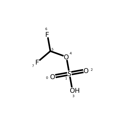 O=S(=O)(O)OC(F)F